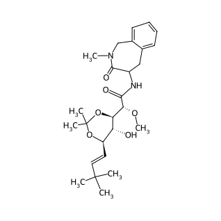 CO[C@@H](C(=O)NC1Cc2ccccc2CN(C)C1=O)[C@@H]1OC(C)(C)O[C@H](C=CC(C)(C)C)[C@H]1O